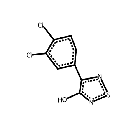 Oc1nsnc1-c1ccc(Cl)c(Cl)c1